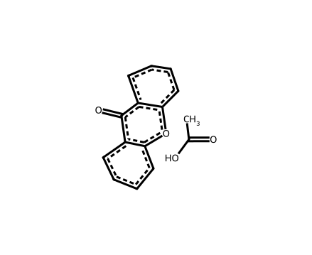 CC(=O)O.O=c1c2ccccc2oc2ccccc12